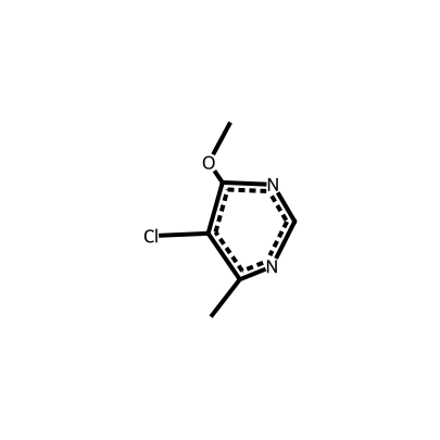 COc1ncnc(C)c1Cl